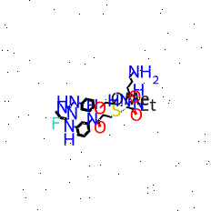 CCNC(=O)[C@H](CSCCC(=O)Nc1cccc(Nc2nc(Nc3ccc(OCCOC)cc3)ncc2F)c1)NC(=O)CCCN